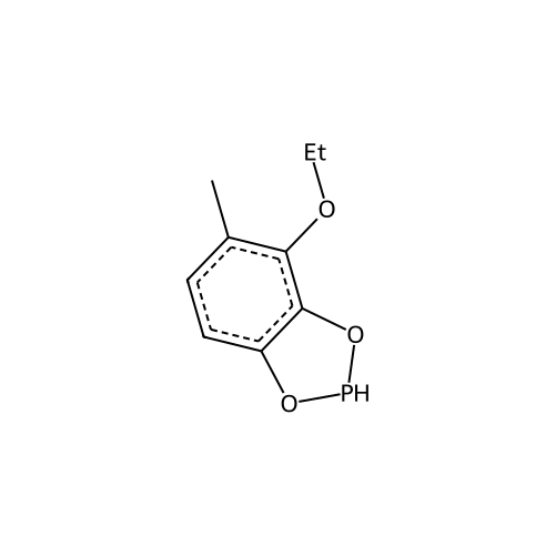 CCOc1c(C)ccc2c1OPO2